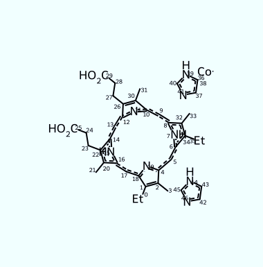 CCC1=C(C)c2cc3[nH]c(cc4nc(cc5[nH]c(cc1n2)c(C)c5CCC(=O)O)C(CCC(=O)O)=C4C)c(C)c3CC.[Co].c1c[nH]cn1.c1c[nH]cn1